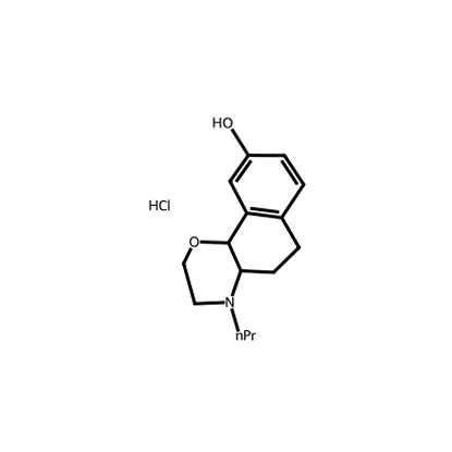 CCCN1CCOC2c3cc(O)ccc3CCC21.Cl